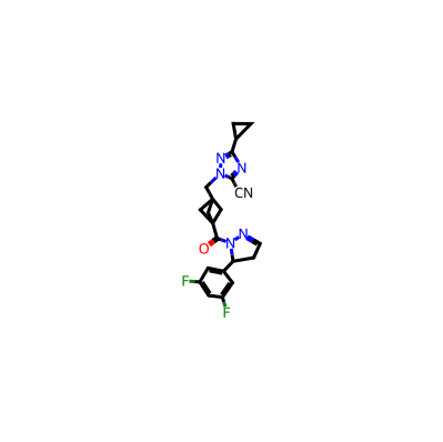 N#Cc1nc(C2CC2)nn1CC12CC(C(=O)N3N=CCC3c3cc(F)cc(F)c3)(C1)C2